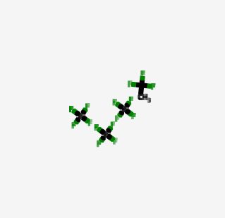 CC(F)(F)F.F[B-](F)(F)F.F[B-](F)(F)F.F[B-](F)(F)F